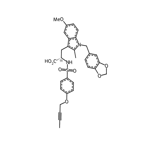 CC#CCOc1ccc(S(=O)(=O)N[C@@H](Cc2c(C)n(Cc3ccc4c(c3)OCO4)c3ccc(OC)cc23)C(=O)O)cc1